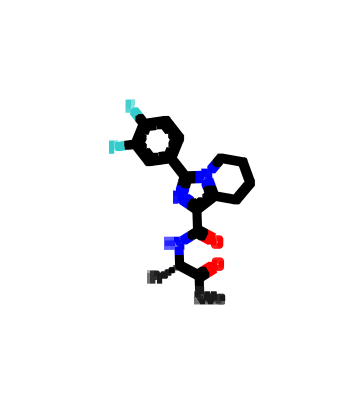 CNC(=O)[C@@H](NC(=O)c1nc(-c2ccc(F)c(F)c2)n2c1CCCC2)C(C)C